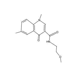 COCCNC(=O)c1cn(C)c2ccc(C)cc2c1=O